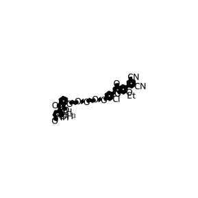 CCOc1cc2oc(-c3ccc(OCCOCCOCCOCCOc4cccc5c4C(=O)N(C4CCC(=O)NC4(C)O)C5=O)cc3Cl)cc(=O)c2cc1-c1cc(C#N)cc(C#N)c1